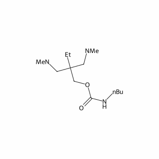 CCCCNC(=O)OCC(CC)(CNC)CNC